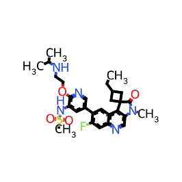 CCC1CC2(C1)C(=O)N(C)c1cnc3cc(F)c(-c4cnc(OCCNC(C)C)c(NS(C)(=O)=O)c4)cc3c12